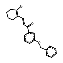 O=C(C=CC1=C(Br)CCCC1)c1cccc(OCc2ccccc2)c1